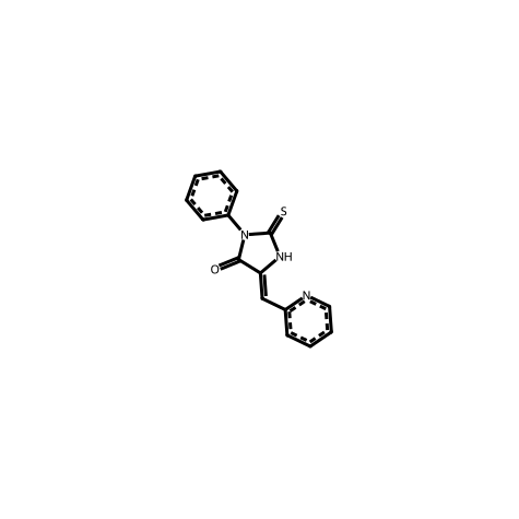 O=C1C(=Cc2ccccn2)NC(=S)N1c1ccccc1